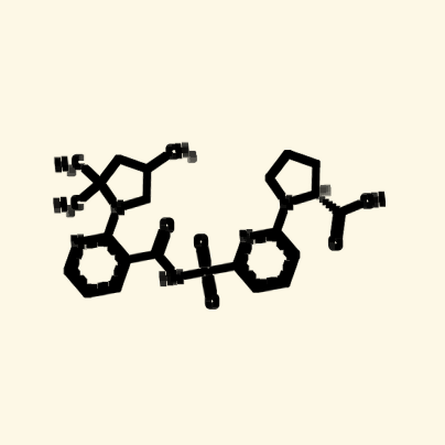 CC1CN(c2ncccc2C(=O)NS(=O)(=O)c2cccc(N3CCC[C@@H]3C(=O)O)n2)C(C)(C)C1